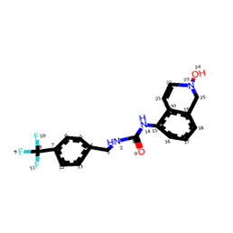 O=C(NCc1ccc(C(F)(F)F)cc1)Nc1cccc2c1C=CN(O)C2